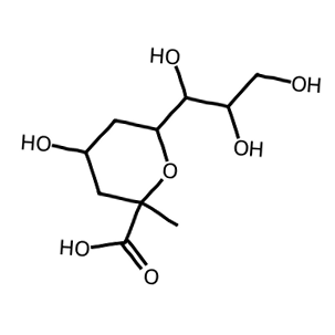 CC1(C(=O)O)CC(O)CC(C(O)C(O)CO)O1